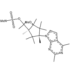 CNS(=O)(=O)OC(C)(C)[C@]1(C)C(C)(C)[C@@](C)(n2ccc3c(C)nc(C)nc32)C(C)(C)[C@]1(C)OC